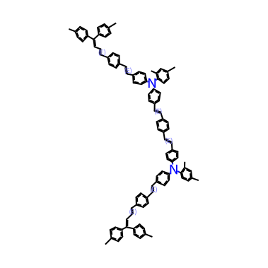 Cc1ccc(C(=C/C=C/c2ccc(/C=C/c3ccc(N(c4ccc(/C=C/c5ccc(/C=C/c6ccc(N(c7ccc(/C=C/c8ccc(/C=C/C=C(c9ccc(C)cc9)c9ccc(C)cc9)cc8)cc7)c7ccc(C)cc7C)cc6)cc5)cc4)c4ccc(C)cc4C)cc3)cc2)c2ccc(C)cc2)cc1